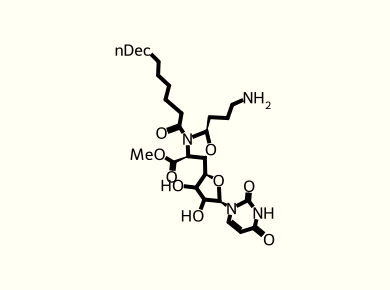 CCCCCCCCCCCCCCCC(=O)N1[C@H](C(=O)OC)[C@@H]([C@H]2O[C@@H](n3ccc(=O)[nH]c3=O)C(O)C2O)O[C@@H]1CCCN